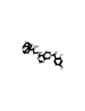 O=C(c1ccc(F)cc1F)N1CCc2c(ncnc2NCC(O)C23CC4CC(CC(C4)C2)C3)C1